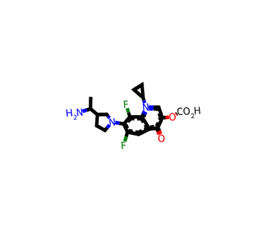 CC(N)C1CCN(c2c(F)cc3c(=O)c(OC(=O)O)cn(C4CC4)c3c2F)C1